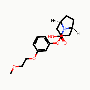 COCCOc1cccc(O[C@H]2C[C@H]3CC[C@@H](C2)N3C(=O)O)c1